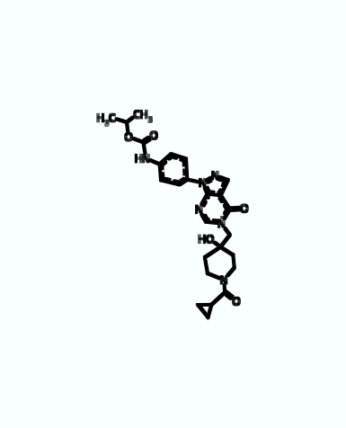 CC(C)OC(=O)Nc1ccc(-n2ncc3c(=O)n(CC4(O)CCN(C(=O)C5CC5)CC4)cnc32)cc1